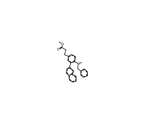 COC(=O)CCc1ccc(N(C)Cc2ccccc2)c(-c2ccc3ccccc3c2)c1